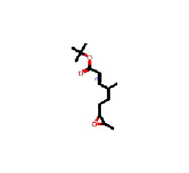 CC(/C=C/C(=O)OC(C)(C)C)CCC1OC1C